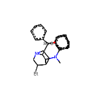 CCC1CN2CCC1C(N(C)c1ccccc1OC)C2C(c1ccccc1)c1ccccc1